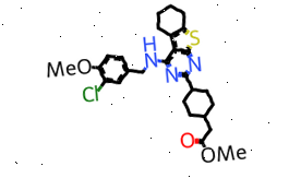 COC(=O)CC1CCC(c2nc(NCc3ccc(OC)c(Cl)c3)c3c4c(sc3n2)CCCC4)CC1